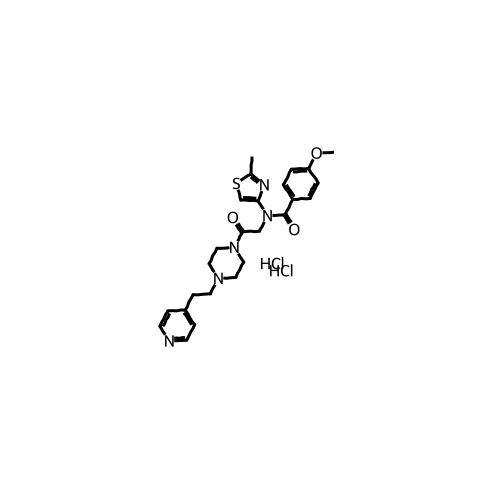 COc1ccc(C(=O)N(CC(=O)N2CCN(CCc3ccncc3)CC2)c2csc(C)n2)cc1.Cl.Cl